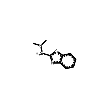 CN(C)[SiH2]c1nc2ccccc2s1